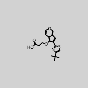 CC(C)(C)c1csc(-c2cc3coccc-3c2OCCC(=O)O)n1